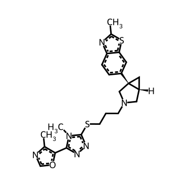 Cc1nc2ccc([C@@]34C[C@@H]3CN(CCCSc3nnc(-c5ocnc5C)n3C)C4)cc2s1